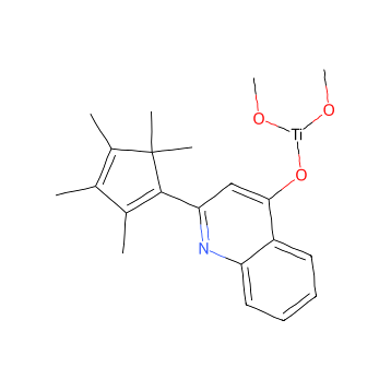 C[O][Ti]([O]C)[O]c1cc(C2=C(C)C(C)=C(C)C2(C)C)nc2ccccc12